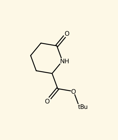 CC(C)(C)OC(=O)C1CCCC(=O)N1